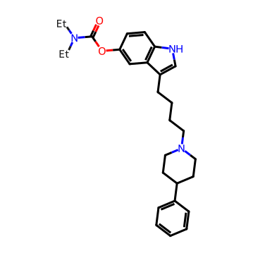 CCN(CC)C(=O)Oc1ccc2[nH]cc(CCCCN3CCC(c4ccccc4)CC3)c2c1